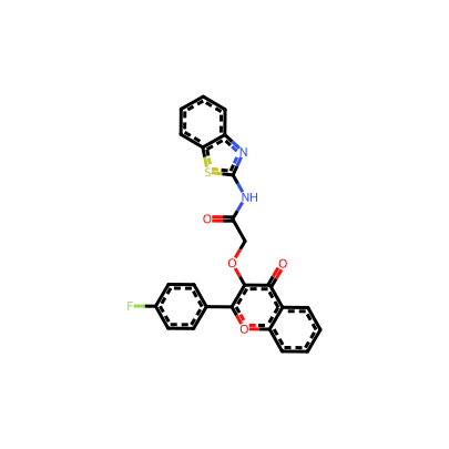 O=C(COc1c(-c2ccc(F)cc2)oc2ccccc2c1=O)Nc1nc2ccccc2s1